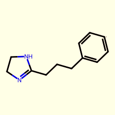 [c]1ccc(CCCC2=NCCN2)cc1